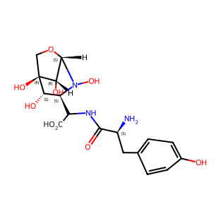 N[C@@H](Cc1ccc(O)cc1)C(=O)NC(C(=O)O)[C@H]1[C@H](O)[C@]2(O)CO[C@@H]([C@@H]2O)N1O